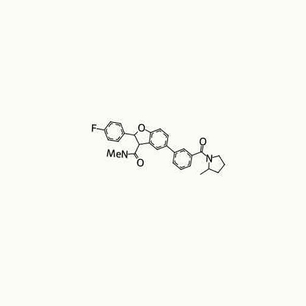 CNC(=O)C1c2cc(-c3cccc(C(=O)N4CCCC4C)c3)ccc2OC1c1ccc(F)cc1